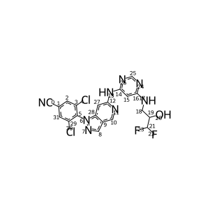 N#Cc1cc(Cl)c(-n2ncc3cnc(Nc4cc(NCC(O)C(F)F)ncn4)cc32)c(Cl)c1